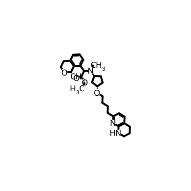 COC(=O)C(c1cccc2c1[C@H](C)OCC2)N(C)[C@H]1CC[C@H](OCCCCc2ccc3c(n2)NCCC3)C1